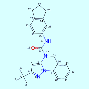 CC(C)(C)c1cc2n(n1)-c1ccccc1CN2C(=O)Nc1ccc2c(c1)CCC2